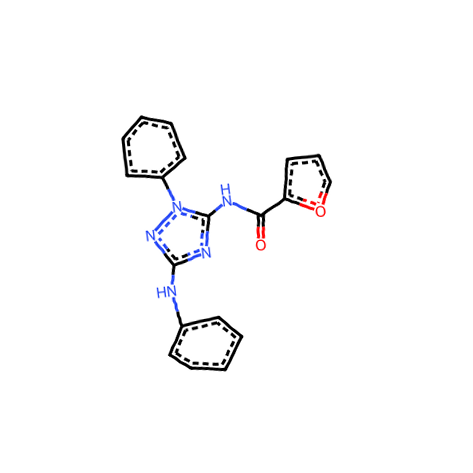 O=C(Nc1nc(Nc2ccccc2)nn1-c1ccccc1)c1ccco1